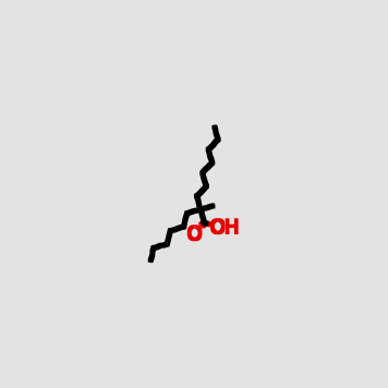 CCCCCCCC(C)(CCCCCC)C(=O)O